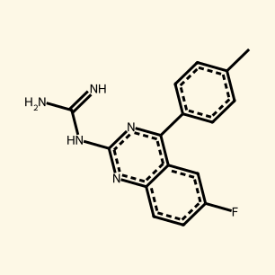 Cc1ccc(-c2nc(NC(=N)N)nc3ccc(F)cc23)cc1